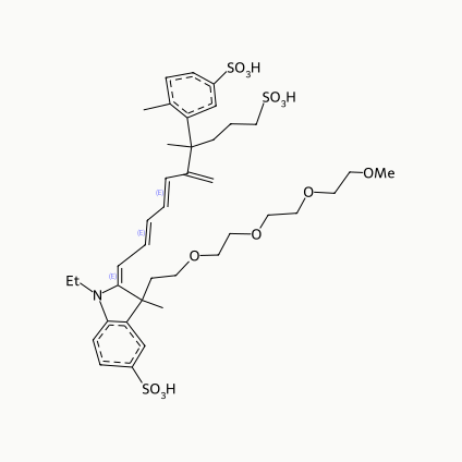 C=C(/C=C/C=C/C=C1/N(CC)c2ccc(S(=O)(=O)O)cc2C1(C)CCOCCOCCOCCOC)C(C)(CCCS(=O)(=O)O)c1cc(S(=O)(=O)O)ccc1C